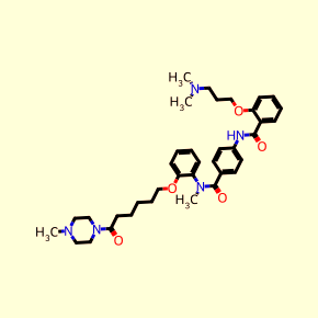 CN(C)CCCOc1ccccc1C(=O)Nc1ccc(C(=O)N(C)c2ccccc2OCCCCCC(=O)N2CCN(C)CC2)cc1